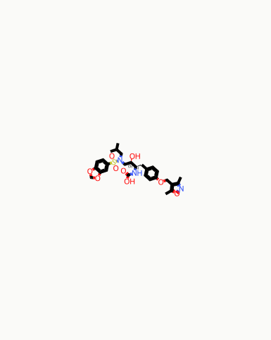 Cc1noc(C)c1COc1ccc(C[C@H](NC(=O)O)[C@@H](O)CN(CC(C)C)S(=O)(=O)c2ccc3c(c2)OCO3)cc1